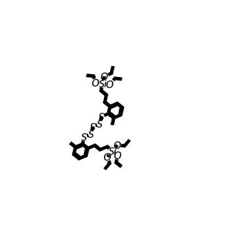 CCO[Si](CCCc1cccc(C)c1SSSSSc1c(C)cccc1CCC[Si](OCC)(OCC)OCC)(OCC)OCC